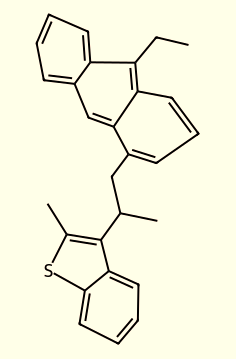 CCc1c2ccccc2cc2c(CC(C)c3c(C)sc4ccccc34)cccc12